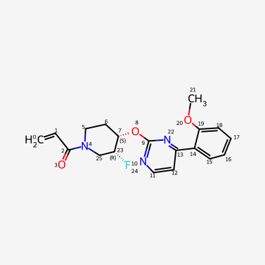 C=CC(=O)N1CC[C@H](Oc2nccc(-c3ccccc3OC)n2)[C@H](F)C1